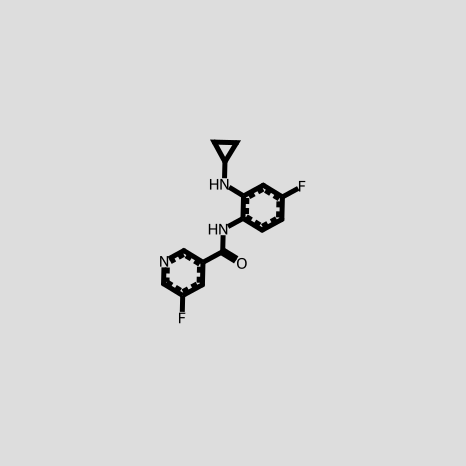 O=C(Nc1ccc(F)cc1NC1CC1)c1cncc(F)c1